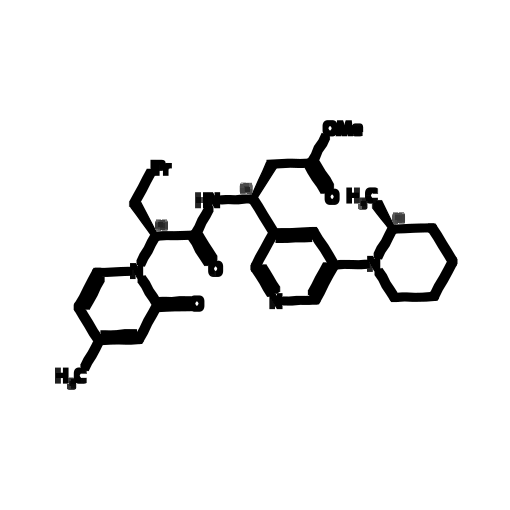 COC(=O)C[C@H](NC(=O)[C@H](CC(C)C)n1ccc(C)cc1=O)c1cncc(N2CCCC[C@@H]2C)c1